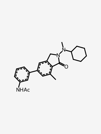 CC(=O)Nc1cccc(-c2cc(C)c3c(c2)CN(N(C)C2CCCCC2)C3=O)c1